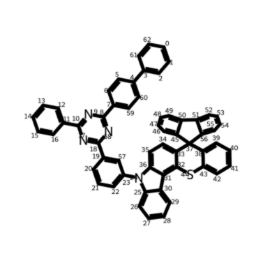 c1ccc(-c2ccc(-c3nc(-c4ccccc4)nc(-c4cccc(-n5c6ccccc6c6c7c(ccc65)C5(c6ccccc6S7)c6ccccc6-c6ccccc65)c4)n3)cc2)cc1